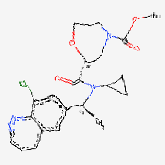 C[C@@H](c1cc(Cl)c2ncccc2c1)N(C(=O)[C@H]1CN(C(=O)OC(C)(C)C)CCO1)C1CC1